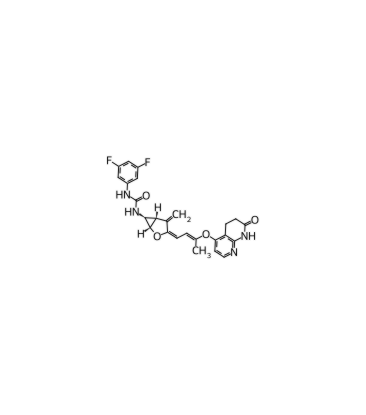 C=C1/C(=C\C=C(/C)Oc2ccnc3c2CCC(=O)N3)O[C@@H]2[C@@H](NC(=O)Nc3cc(F)cc(F)c3)[C@H]12